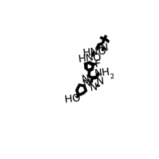 CC(C)(C)c1cc(NC(=O)Nc2ccc(-c3nn(C4CCC(O)CC4)c4ncnc(N)c34)cc2F)on1